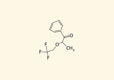 CC(OCC(F)(F)F)C(=O)c1ccccc1